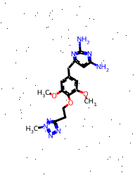 COc1cc(Cc2cc(N)nc(N)n2)cc(OC)c1OCCc1nnn(C)n1